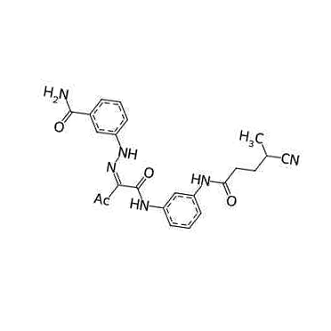 CC(=O)/C(=N/Nc1cccc(C(N)=O)c1)C(=O)Nc1cccc(NC(=O)CCC(C)C#N)c1